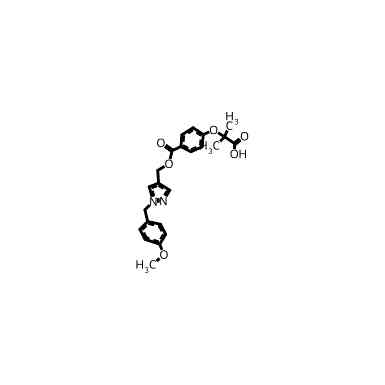 COc1ccc(Cn2cc(COC(=O)c3ccc(OC(C)(C)C(=O)O)cc3)cn2)cc1